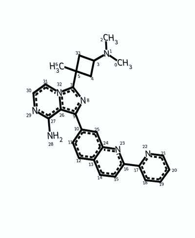 CN(C)C1CC(C)(c2nc(-c3ccc4ccc(-c5ccccn5)nc4c3)c3c(N)nccn23)C1